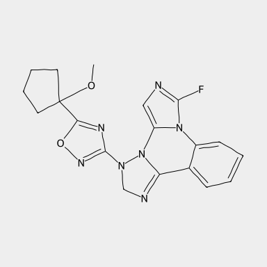 COC1(c2nc(N3CN=C4c5ccccc5-n5c(cnc5F)N43)no2)CCCC1